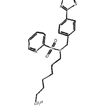 O=C(O)CCCCCCN(Cc1ccc(-c2nccs2)cc1)S(=O)(=O)c1ccccn1